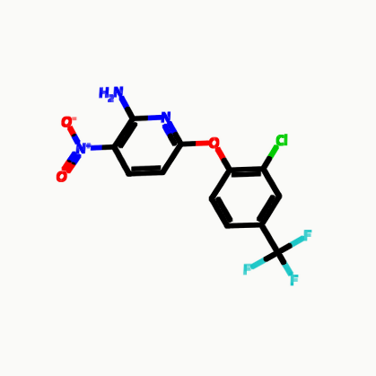 Nc1nc(Oc2ccc(C(F)(F)F)cc2Cl)ccc1[N+](=O)[O-]